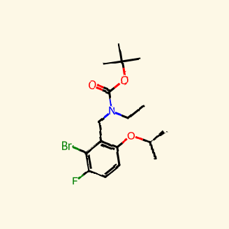 [CH2][C@@H](C)Oc1ccc(F)c(Br)c1CN(CC)C(=O)OC(C)(C)C